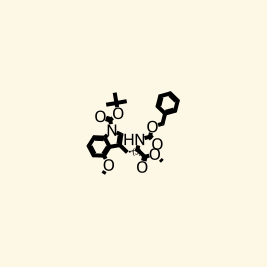 COC(=O)[C@H](Cc1cn(C(=O)OC(C)(C)C)c2cccc(OC)c12)NC(=O)OCc1ccccc1